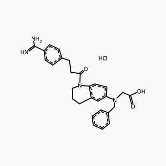 Cl.N=C(N)c1ccc(CCC(=O)N2CCCc3cc(N(CC(=O)O)Cc4ccccc4)ccc32)cc1